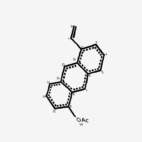 C=Cc1cccc2cc3c(OC(C)=O)cccc3cc12